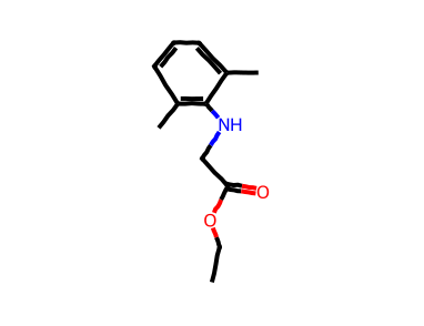 CCOC(=O)CNc1c(C)cccc1C